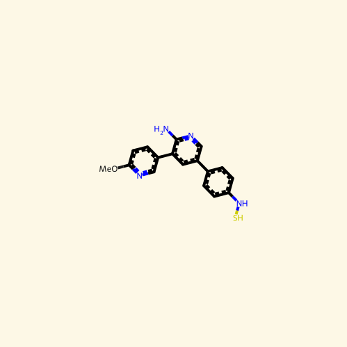 COc1ccc(-c2cc(-c3ccc(NS)cc3)cnc2N)cn1